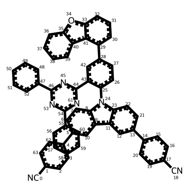 N#Cc1ccc(-c2ccc3c(c2)c2cc(-c4ccc(C#N)cc4)ccc2n3-c2ccc(-c3cccc4oc5ccccc5c34)cc2-c2nc(-c3ccccc3)nc(-c3ccccc3)n2)cc1